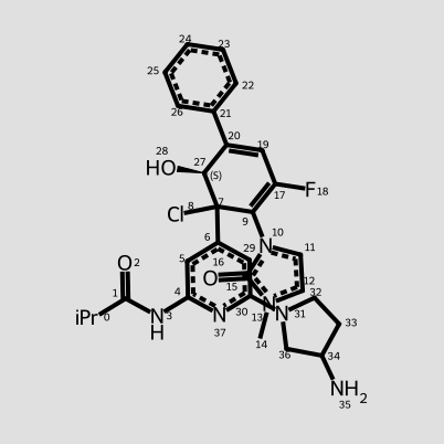 CC(C)C(=O)Nc1cc(C2(Cl)C(n3ccn(C)c3=O)=C(F)C=C(c3ccccc3)[C@@H]2O)cc(N2CCC(N)C2)n1